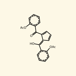 CC(=O)Oc1ccccc1C(=O)C1=CC=CC1=C(O)c1ccccc1OC(C)=O